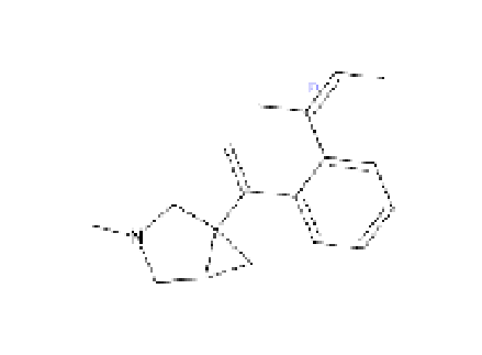 C=C(c1ccccc1/C(C)=C\C)C12CC1CN(C)C2